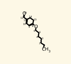 CCCCCCCOC1=CC=C(C=O)CC1